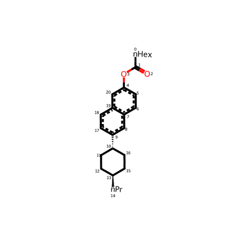 CCCCCCC(=O)Oc1ccc2cc([C@H]3CC[C@H](CCC)CC3)ccc2c1